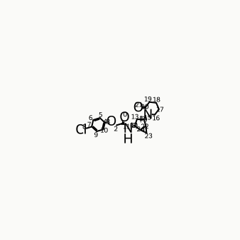 O=C(COc1ccc(Cl)cc1)N[C@H]1C[C@@H](N2CCCCC2=O)C2CC21